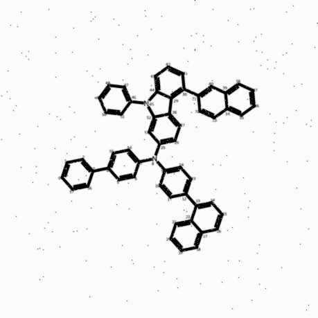 c1ccc(-c2ccc(N(c3ccc(-c4cccc5ccccc45)cc3)c3ccc4c5c(-c6ccc7ccccc7c6)cccc5n(-c5ccccc5)c4c3)cc2)cc1